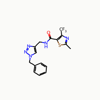 Cc1nc(C(F)(F)F)c(C(=O)NCc2cn(Cc3ccccc3)nn2)s1